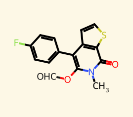 Cn1c(OC=O)c(-c2ccc(F)cc2)c2ccsc2c1=O